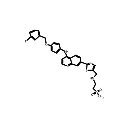 CS(=O)(=O)CCNCc1cnc(-c2ccc3c(Nc4ccc(OCc5cccc(F)c5)cc4)ccnc3c2)s1